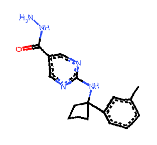 Cc1cccc(C2(Nc3ncc(C(=O)NN)cn3)CCC2)c1